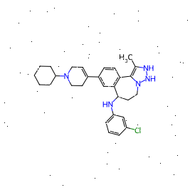 CC1=C2c3ccc(C4=CCN(C5CCCCC5)CC4)cc3C(Nc3cccc(Cl)c3)CCN2NN1